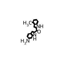 Cc1cccc2[nH]c(C(=O)c3cc4ccc(N)cc4[nH]3)cc12